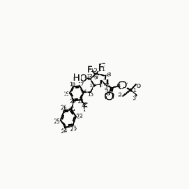 CC(C)(C)OC(=O)N1CC(F)(F)C(O)C1Cc1cccc(-c2ccccc2)c1F